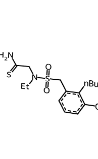 CCCCc1c(Cl)cccc1CS(=O)(=O)N(CC)CC(N)=S